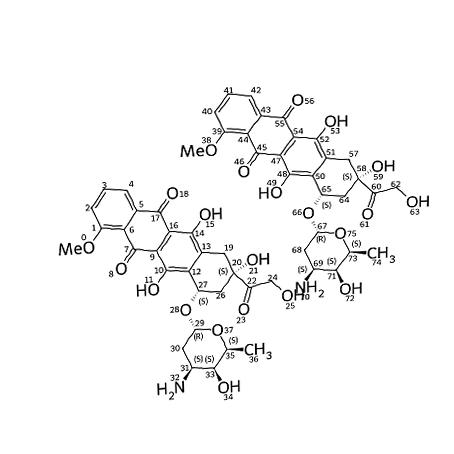 COc1cccc2c1C(=O)c1c(O)c3c(c(O)c1C2=O)C[C@@](O)(C(=O)CO)C[C@@H]3O[C@H]1C[C@H](N)[C@H](O)[C@H](C)O1.COc1cccc2c1C(=O)c1c(O)c3c(c(O)c1C2=O)C[C@@](O)(C(=O)CO)C[C@@H]3O[C@H]1C[C@H](N)[C@H](O)[C@H](C)O1